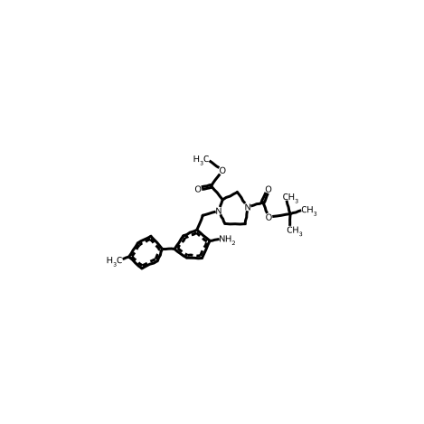 COC(=O)C1CN(C(=O)OC(C)(C)C)CCN1Cc1cc(-c2ccc(C)cc2)ccc1N